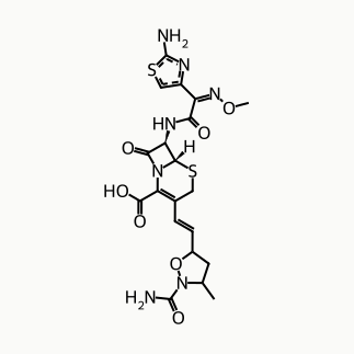 CO/N=C(\C(=O)N[C@@H]1C(=O)N2C(C(=O)O)=C(/C=C/C3CC(C)N(C(N)=O)O3)CS[C@@H]12)c1csc(N)n1